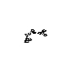 c1ccc(-n2c3ccccc3c3cc(-c4ccc5c(c4)c4ccccc4n5-c4ccc(-c5cccc(-c6cc7ccccc7c7ccccc67)c5)cc4)ccc32)cc1